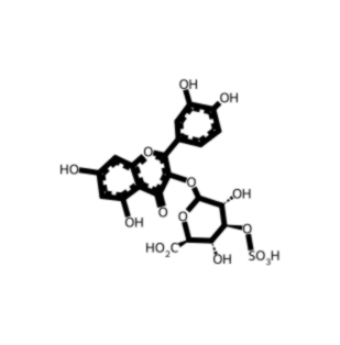 O=C(O)[C@H]1OC(Oc2c(-c3ccc(O)c(O)c3)oc3cc(O)cc(O)c3c2=O)[C@H](O)[C@@H](OS(=O)(=O)O)[C@@H]1O